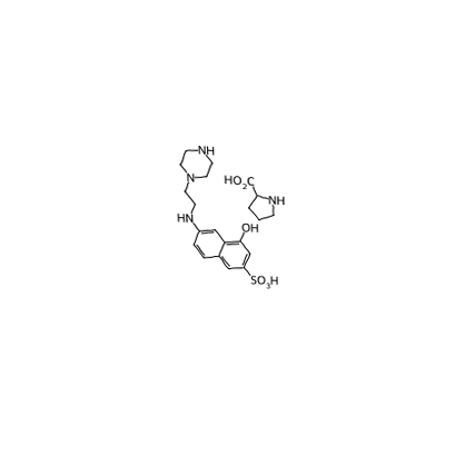 O=C(O)C1CCCN1.O=S(=O)(O)c1cc(O)c2cc(NCCN3CCNCC3)ccc2c1